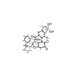 CNC(=O)c1cc2c(c(F)c1-c1c(Cl)c(F)cc3c1C[C@](c1ccccc1)([C@@H]1CCCN1)O3)[C@@H](O)[C@@H](O)C2